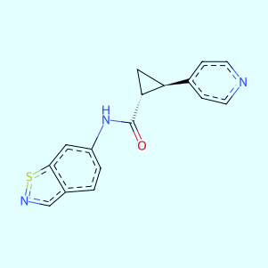 O=C(Nc1ccc2cnsc2c1)[C@@H]1C[C@H]1c1ccncc1